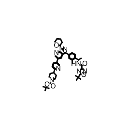 Cc1cc(-c2nn(C3CCCCO3)c3ncc(-c4ccc(C5CCN(C(=O)OC(C)(C)C)CC5)nc4)cc23)ccc1C(C)NC(=O)c1noc(C(C)(C)C)n1